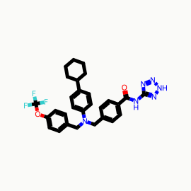 O=C(Nc1nn[nH]n1)c1ccc(CN(Cc2ccc(OC(F)(F)F)cc2)c2ccc(C3CCCCC3)cc2)cc1